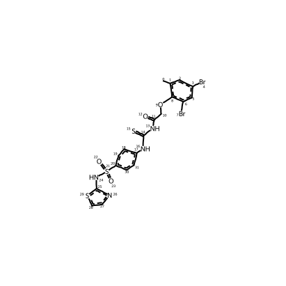 Cc1cc(Br)cc(Br)c1OCC(=O)NC(=S)Nc1ccc(S(=O)(=O)Nc2nccs2)cc1